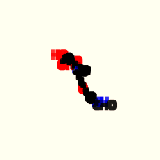 O=CNc1ccc(CCOCCCCCCN(CC(=O)c2ccc(O)c(CO)c2)Cc2ccccc2)cc1